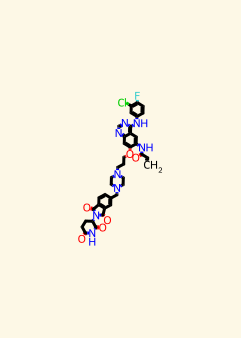 C=CC(=O)Nc1cc2c(Nc3ccc(F)c(Cl)c3)ncnc2cc1OCCCN1CCN(Cc2ccc3c(c2)C(=O)N(C2CCC(=O)NC2=O)C3=O)CC1